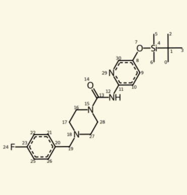 CC(C)(C)[Si](C)(C)Oc1ccc(NC(=O)N2CCN(Cc3ccc(F)cc3)CC2)nc1